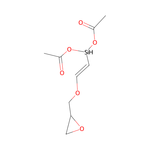 CC(=O)O[SiH](C=COCC1CO1)OC(C)=O